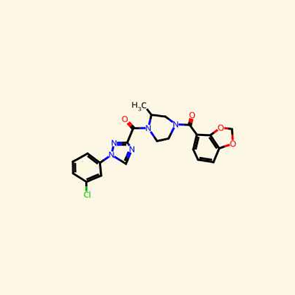 CC1CN(C(=O)c2cccc3c2OCO3)CCN1C(=O)c1ncn(-c2cccc(Cl)c2)n1